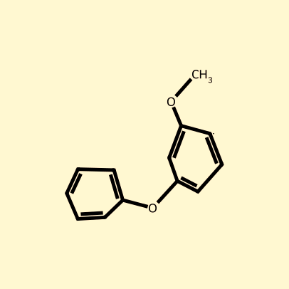 COc1[c]ccc(Oc2ccccc2)c1